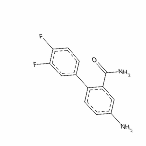 NC(=O)c1cc(N)ccc1-c1ccc(F)c(F)c1